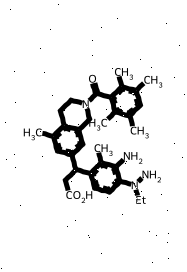 CCN(N)c1ccc(C(CC(=O)O)c2cc(C)c3c(c2)CN(C(=O)c2c(C)c(C)cc(C)c2C)CC3)c(C)c1N